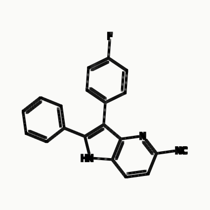 [C-]#[N+]c1ccc2[nH]c(-c3ccccc3)c(-c3ccc(F)cc3)c2n1